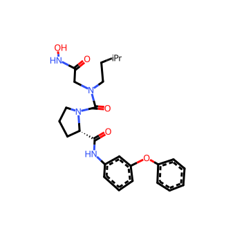 CC(C)CCN(CC(=O)NO)C(=O)N1CCC[C@H]1C(=O)Nc1cccc(Oc2ccccc2)c1